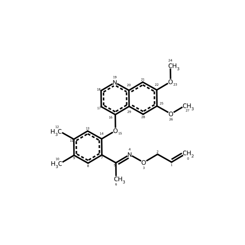 C=CCON=C(C)c1cc(C)c(C)cc1Oc1ccnc2cc(OC)c(OC)cc12